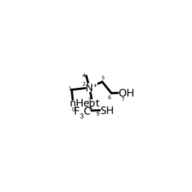 CCCCCCCC[N+](C)(C)CCO.FC(F)(F)S